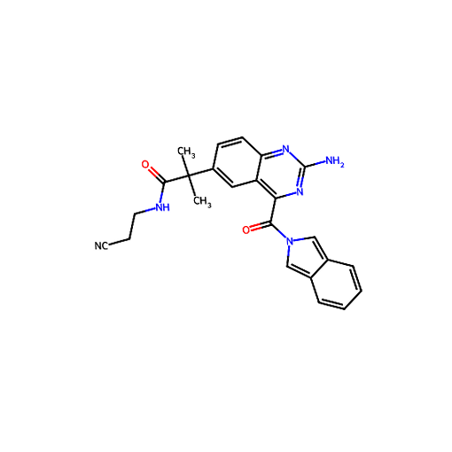 CC(C)(C(=O)NCCC#N)c1ccc2nc(N)nc(C(=O)n3cc4ccccc4c3)c2c1